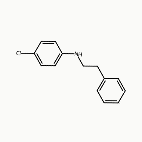 Clc1ccc(NCCc2cc[c]cc2)cc1